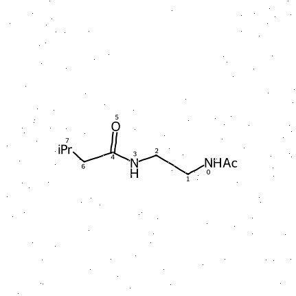 CC(=O)NCCNC(=O)CC(C)C